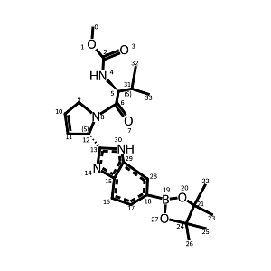 COC(=O)N[C@H](C(=O)N1CC=C[C@H]1c1nc2ccc(B3OC(C)(C)C(C)(C)O3)cc2[nH]1)C(C)C